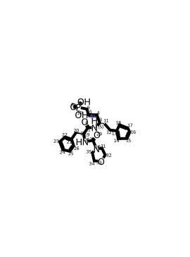 O=C(N[C@H](/C=C/CP(=O)(O)O)CCc1ccccc1)[C@H](Cc1ccccc1)NC(=O)N1CCOCC1